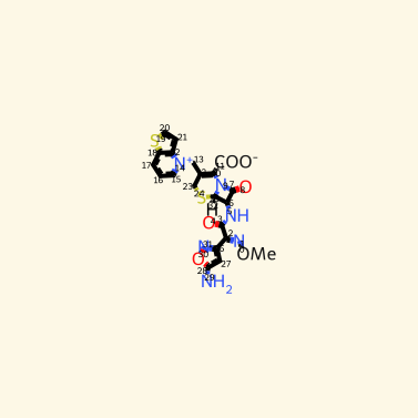 CON=C(C(=O)NC1C(=O)N2C(C(=O)[O-])=C(C[n+]3cccc4sccc43)CS[C@@H]12)c1cc(N)on1